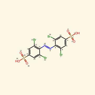 O=S(=O)(O)c1cc(Br)c(N=Nc2c(Br)cc(S(=O)(=O)O)cc2Br)c(Br)c1